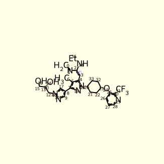 C=N/C(=C\c1c(C)c(-c2cnn(C[C@@H](O)CO)c2)nn1[C@H]1CC[C@@H](Oc2cccnc2C(F)(F)F)CC1)NCC